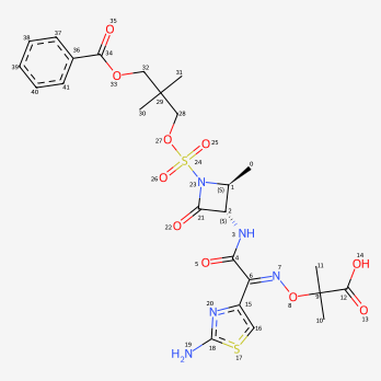 C[C@H]1[C@H](NC(=O)C(=NOC(C)(C)C(=O)O)c2csc(N)n2)C(=O)N1S(=O)(=O)OCC(C)(C)COC(=O)c1ccccc1